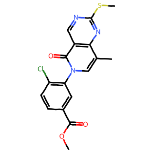 COC(=O)c1ccc(Cl)c(-n2cc(C)c3nc(SC)ncc3c2=O)c1